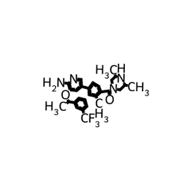 Cc1cc(-c2cnc(N)c(OC(C)c3cccc(C(F)(F)F)c3)c2)ccc1C(=O)N1CC(C)NC(C)C1